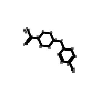 NC(=O)N1CCN(Cc2ccc(Cl)cc2)CC1